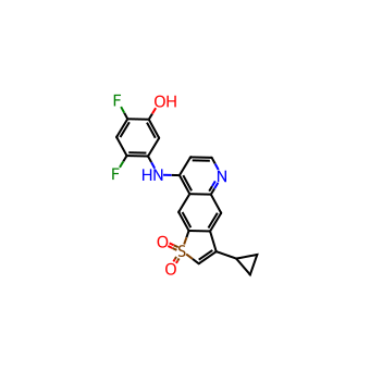 O=S1(=O)C=C(C2CC2)c2cc3nccc(Nc4cc(O)c(F)cc4F)c3cc21